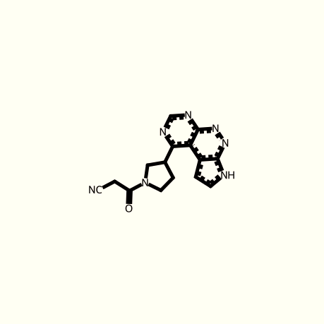 N#CCC(=O)N1CCC(c2ncnc3nnc4[nH]ccc4c23)C1